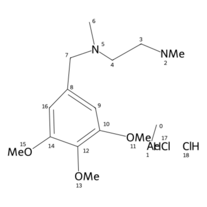 CC(C)=O.CNCCN(C)Cc1cc(OC)c(OC)c(OC)c1.Cl.Cl